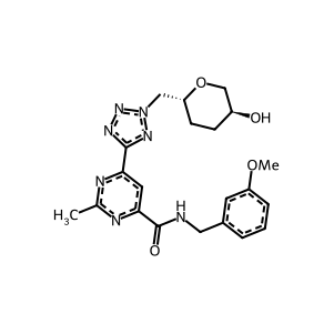 COc1cccc(CNC(=O)c2cc(-c3nnn(C[C@H]4CC[C@H](O)CO4)n3)nc(C)n2)c1